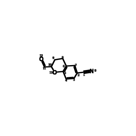 N#Cc1ccc2c(c1)CCC(C=O)O2